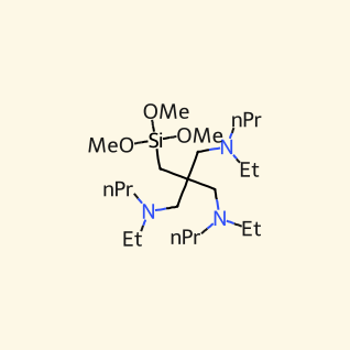 CCCN(CC)CC(CN(CC)CCC)(CN(CC)CCC)C[Si](OC)(OC)OC